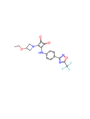 CCOC1CN(c2c(Nc3ccc(-c4noc(C(F)(F)F)n4)cc3)c(=O)c2=O)C1